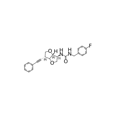 O=C(NCc1ccc(F)cc1)N[C@H]1COC2[C@H](C#Cc3ccccc3)CO[C@@H]21